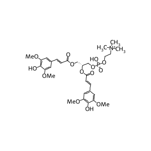 COc1cc(C=CC(=O)OC[C@H](COP(=O)(O)OCC[N+](C)(C)C)OC(=O)C=Cc2cc(OC)c(O)c(OC)c2)cc(OC)c1O